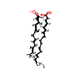 CCCCCCCCCCCCCCCC(=O)O.CCCCCCCCCCCCCO